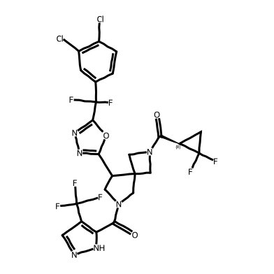 O=C(c1[nH]ncc1C(F)(F)F)N1CC(c2nnc(C(F)(F)c3ccc(Cl)c(Cl)c3)o2)C2(C1)CN(C(=O)[C@H]1CC1(F)F)C2